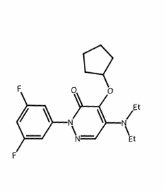 CCN(CC)c1cnn(-c2cc(F)cc(F)c2)c(=O)c1OC1CCCC1